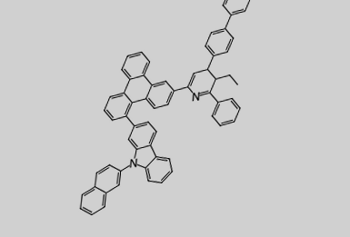 CCC1C(c2ccccc2)=NC(c2ccc3c(c2)c2ccccc2c2cccc(-c4ccc5c6ccccc6n(-c6ccc7ccccc7c6)c5c4)c23)=CC1c1ccc(-c2ccccc2)cc1